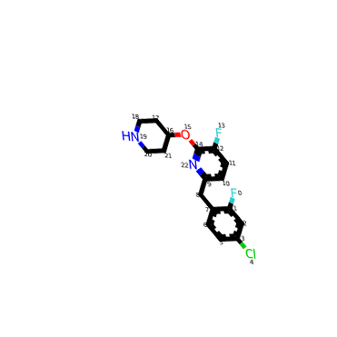 Fc1cc(Cl)ccc1Cc1ccc(F)c(OC2CCNCC2)n1